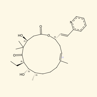 CC[C@H]1C(=O)C(C)(C)[C@@H](O)CC(=O)O[C@H](C=Cc2ccccn2)C/C=C(/C)CCC[C@H](C)[C@@H]1O